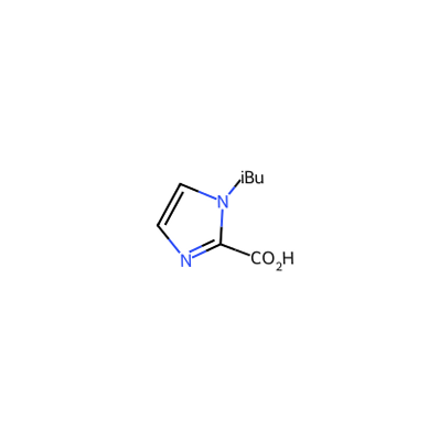 CCC(C)n1ccnc1C(=O)O